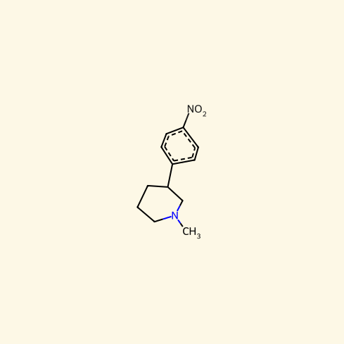 CN1CCCC(c2ccc([N+](=O)[O-])cc2)C1